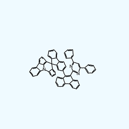 c1ccc(-c2cc(-c3ccccc3)nc(-c3c(-c4ccc5c(c4)C4(c6ccccc6-5)c5ccccc5-n5c6ccccc6c6cccc4c65)c4ccccc4c4ccccc34)n2)cc1